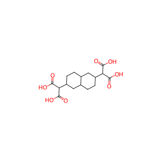 O=C(O)C(C(=O)O)C1CCC2CC(C(C(=O)O)C(=O)O)CCC2C1